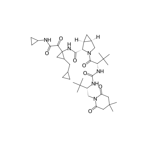 CC1(C)CC(=O)N(C[C@@H](NC(=O)N[C@H](C(=O)N2C[C@@H]3C[C@@H]3[C@H]2C(=O)NC2(C(=O)C(=O)NC3CC3)CC2CC2CC2)C(C)(C)C)C(C)(C)C)C(=O)C1